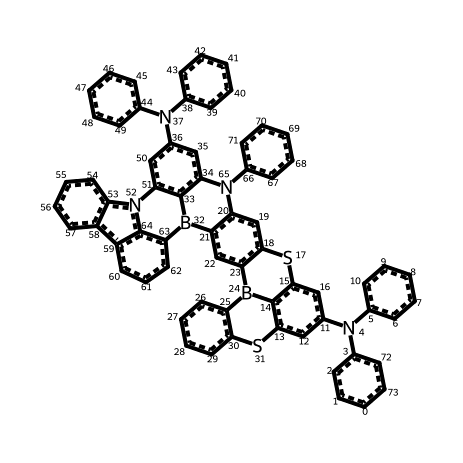 c1ccc(N(c2ccccc2)c2cc3c4c(c2)Sc2cc5c(cc2B4c2ccccc2S3)B2c3c(cc(N(c4ccccc4)c4ccccc4)cc3-n3c4ccccc4c4cccc2c43)N5c2ccccc2)cc1